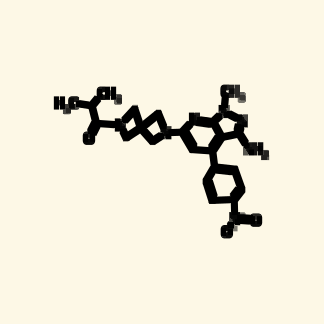 CC(C)C(=O)N1CC2(C1)CN(c1cc(-c3ccc([N+](=O)[O-])cc3)c3c(N)nn(C)c3n1)C2